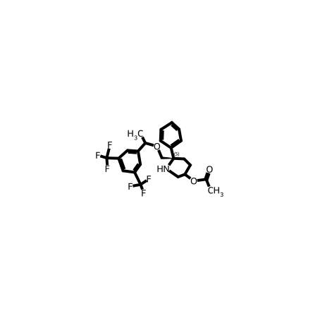 CC(=O)OC1CC[C@@](COC(C)c2cc(C(F)(F)F)cc(C(F)(F)F)c2)(c2ccccc2)NC1